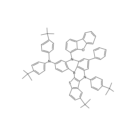 CC(C)(C)c1ccc(N(c2ccc(C(C)(C)C)cc2)c2ccc3c(c2)N(c2cccc4c2oc2ccccc24)c2cc(-c4ccccc4)cc4c2B3c2sc3ccc(C(C)(C)C)cc3c2N4c2ccc(C(C)(C)C)cc2)cc1